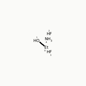 CCO.F.F.N